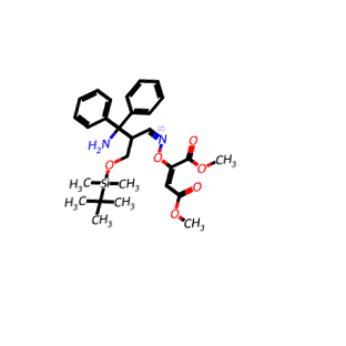 COC(=O)C=C(O/N=C\C(CO[Si](C)(C)C(C)(C)C)C(N)(c1ccccc1)c1ccccc1)C(=O)OC